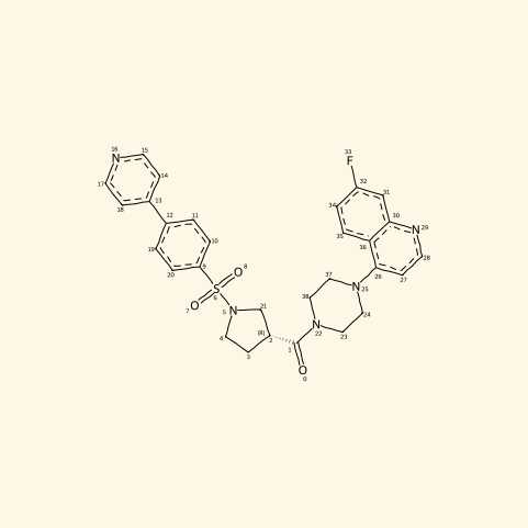 O=C([C@@H]1CCN(S(=O)(=O)c2ccc(-c3ccncc3)cc2)C1)N1CCN(c2ccnc3cc(F)ccc23)CC1